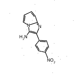 Nc1c(-c2ccc([N+](=O)[O-])cc2)nc2ccccn12